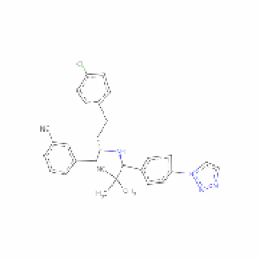 CC(C)(C#N)[C@@H](N[C@@H](CCc1ccc(Cl)cc1)Cc1cccc(C#N)c1)c1ccc(-n2ccnn2)cc1